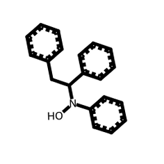 ON(c1ccccc1)C(Cc1ccccc1)c1ccccc1